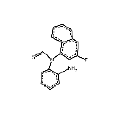 Nc1ccccc1N(C=S)c1cc(F)cc2ccccc12